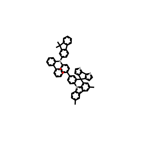 Cc1ccc2c(c1)c1cc(C)cc3c1n2-c1ccc(-c2ccc(N(c4ccc5c(c4)C(C)(C)c4ccccc4-5)c4ccccc4-c4ccccc4)cc2)cc1C31c2ccsc2-c2sccc21